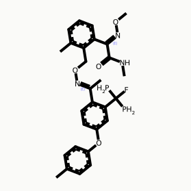 CNC(=O)/C(=N/OC)c1cccc(C)c1CO/N=C(\C)c1ccc(Oc2ccc(C)cc2)cc1C(F)(P)P